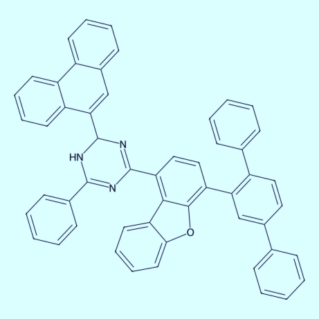 c1ccc(C2=NC(c3ccc(-c4cc(-c5ccccc5)ccc4-c4ccccc4)c4oc5ccccc5c34)=NC(c3cc4ccccc4c4ccccc34)N2)cc1